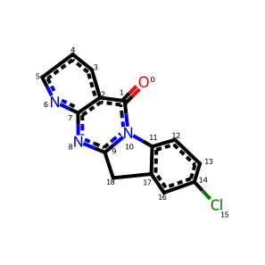 O=c1c2cccnc2nc2n1-c1ccc(Cl)cc1C2